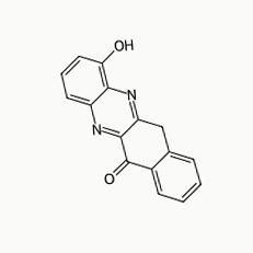 O=C1c2ccccc2Cc2nc3c(O)cccc3nc21